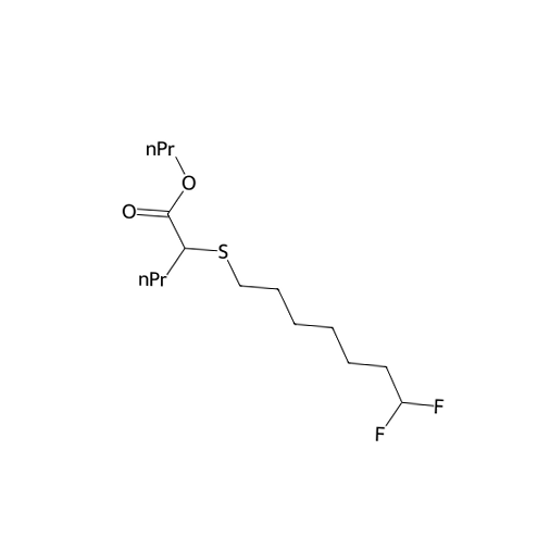 CCCOC(=O)C(CCC)SCCCCCCC(F)F